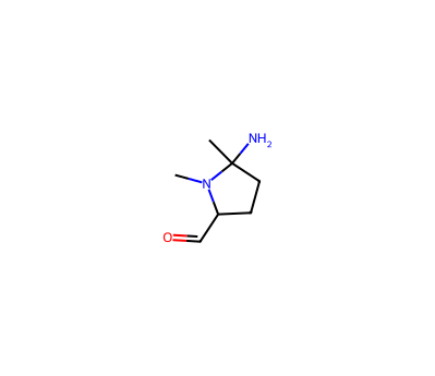 CN1C(C=O)CCC1(C)N